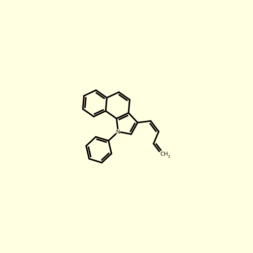 C=C/C=C\c1cn(-c2ccccc2)c2c1ccc1ccccc12